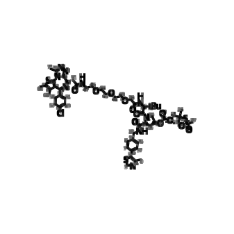 Cc1ncsc1-c1ccc(CNC(=O)[C@@H]2C[C@@H](OC(=O)OCC(C)(C)SS(C)(=O)=O)CN2C(=O)[C@@H](NC(=O)COCCOCCOCCNC(=O)C[C@@H]2N=C(c3ccc(Cl)cc3)c3c(sc(C)c3C)-n3c(C)nnc32)C(C)(C)C)cc1